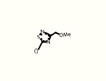 COCc1nsc(Cl)n1